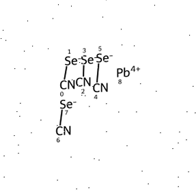 N#C[Se-].N#C[Se-].N#C[Se-].N#C[Se-].[Pb+4]